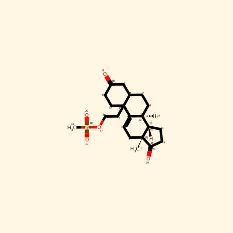 C[C@]12CC=C3[C@@H](CCC4CC(=O)CCC34CCOS(C)(=O)=O)[C@@H]1CCC2=O